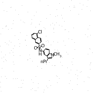 CCCc1cn(C)c2ccc(NS(=O)(=O)c3ccc4c(Cl)cccc4c3)cc12